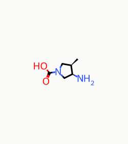 C[C@@H]1CN(C(=O)O)C[C@@H]1N